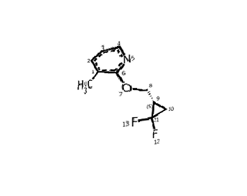 Cc1cccnc1OC[C@@H]1CC1(F)F